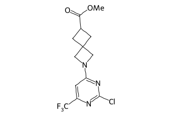 COC(=O)C1CC2(C1)CN(c1cc(C(F)(F)F)nc(Cl)n1)C2